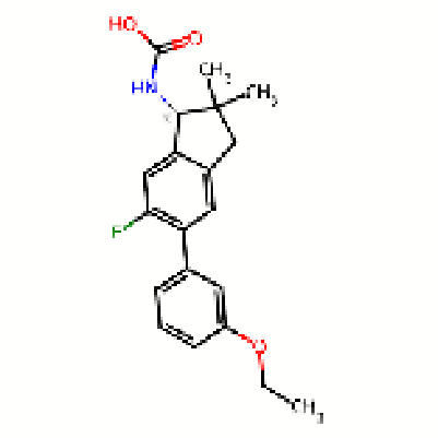 CCOc1cccc(-c2cc3c(cc2F)[C@H](NC(=O)O)C(C)(C)C3)c1